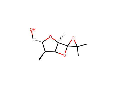 C[C@@H]1C2OC3(OC3(C)C)[C@@H]2O[C@H]1CO